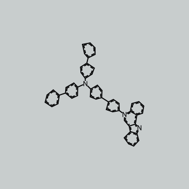 c1ccc(-c2ccc(N(c3ccc(-c4ccccc4)cc3)c3ccc(-c4ccc(-n5cc6c7ccccc7nc-6c6ccccc65)cc4)cc3)cc2)cc1